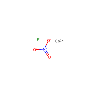 O=[N+]([O-])[O-].[Co+2].[F-]